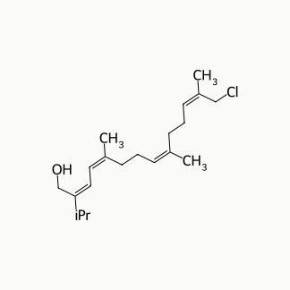 CC(=CCCC(C)=CCCC(C)=CC=C(CO)C(C)C)CCl